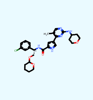 Cc1cnc(NC2CCOCC2)nc1-c1c[nH]c(C(=O)N[C@H](COC2CCCCO2)c2cccc(Cl)c2)c1